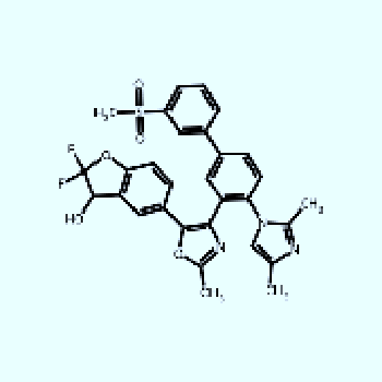 Cc1cn(-c2ccc(-c3cccc(S(C)(=O)=O)c3)cc2-c2nc(C)oc2-c2ccc3c(c2)C(O)C(F)(F)O3)c(C)n1